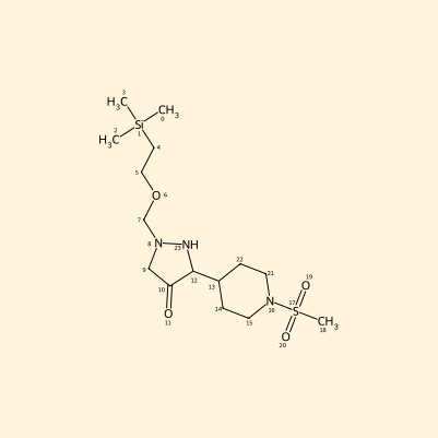 C[Si](C)(C)CCOCN1CC(=O)C(C2CCN(S(C)(=O)=O)CC2)N1